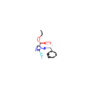 CCOC(=O)c1cnc(F)n1[C@H](C)c1ccccc1